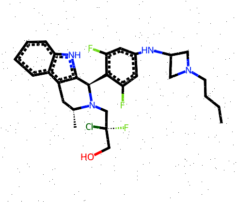 CCCCN1CC(Nc2cc(F)c([C@@H]3c4[nH]c5ccccc5c4C[C@@H](C)N3C[C@](F)(Cl)CO)c(F)c2)C1